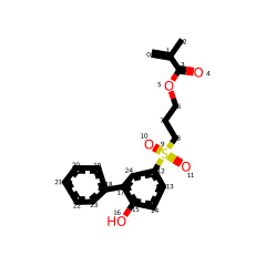 C=C(C)C(=O)OCCCS(=O)(=O)c1ccc(O)c(-c2ccccc2)c1